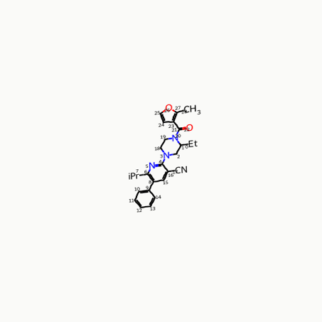 CCC1CN(c2nc(C(C)C)c(-c3ccccc3)cc2C#N)CCN1C(=O)c1ccoc1C